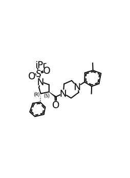 Cc1ccc(C)c(N2CCN(C(=O)[C@@H]3CN(S(=O)(=O)C(C)C)C[C@H]3c3ccccc3)CC2)c1